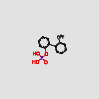 CCCc1ccccc1-c1ccccc1OP(=O)(O)O